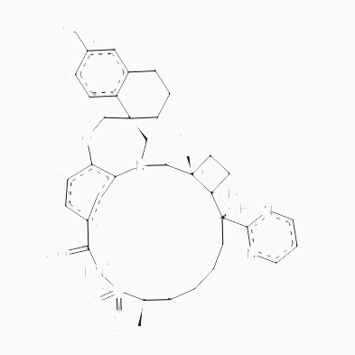 C[C@@H]1[C@@H](C)CCC[C@@](O)(c2ncccn2)[C@@H]2CC[C@H]2CN2C[C@@]3(CCCc4cc(Cl)ccc43)COc3ccc(cc32)C(=O)NS1(=O)=O